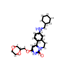 O=c1nc(OCC2COCCO2)cc2n1CCc1cc(NCC3CCCCC3)ccc1-2